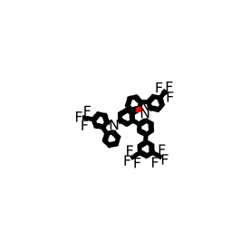 N#Cc1ccc(-n2c3ccccc3c3cc(C(F)(F)F)ccc32)cc1-c1cc(-c2cc(C(F)(F)F)cc(C(F)(F)F)c2)ccc1-n1c2ccccc2c2cc(C(F)(F)F)ccc21